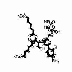 CCCCCCCCCCCCCCCC(=O)OC(C(=O)CCCCCCCCCCCCCCC)C(O)CO.Nc1ccn([C@H]2CC[C@@H](COP(=O)(O)OP(=O)(O)O)O2)c(=O)n1